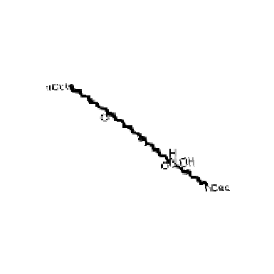 CCCCCCCCC=CCCCCCCCC(=O)CCCCCCCCCCCCCCCC(=O)NCC(O)CCCCCCCCCCCCCCCC